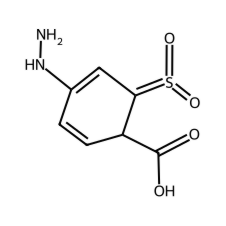 NNC1=CC(=S(=O)=O)C(C(=O)O)C=C1